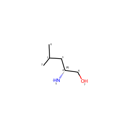 CC(C)C[C@@H]([NH])CO